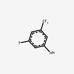 CCCc1cc(F)cc(C(F)(F)F)c1